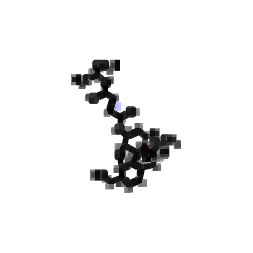 C[C@H](OC(=O)/C=C/C(=O)OC1=CC[C@@]2(O)[C@H]3Cc4ccc(CO)c5c4C2(CCN3C)C1O5)C(=O)O